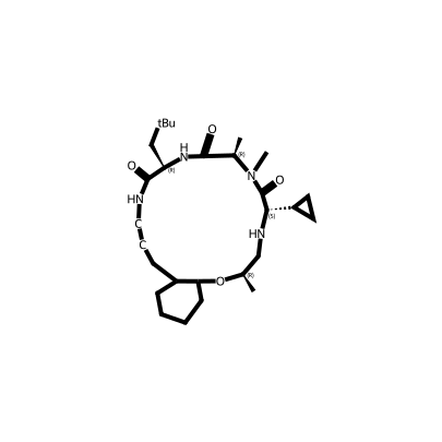 C[C@@H]1CN[C@@H](C2CC2)C(=O)N(C)[C@H](C)C(=O)N[C@H](CC(C)(C)C)C(=O)NCCCC2CCCCC2O1